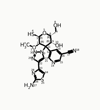 CO[C@H]1[C@@H](S)O[C@H](CO)[C@H](O)C1(c1cncc(C#N)c1)n1cc(-c2csc(N)n2)nn1